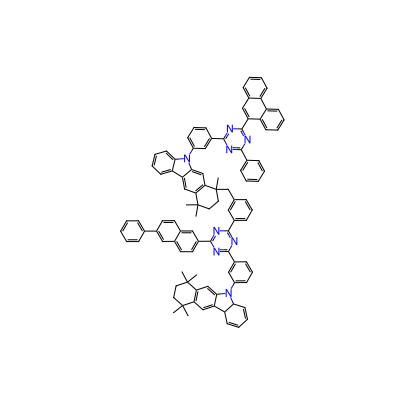 CC1(C)CCC(C)(C)c2cc3c(cc21)C1C=CC=CC1N3c1cccc(-c2nc(-c3cccc(CC4(C)CCC(C)(C)c5cc6c7ccccc7n(-c7cccc(-c8nc(-c9ccccc9)nc(-c9cc%10ccccc%10c%10ccccc9%10)n8)c7)c6cc54)c3)nc(-c3ccc4cc(-c5ccccc5)ccc4c3)n2)c1